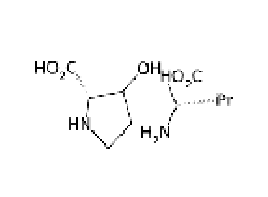 CC(C)[C@H](N)C(=O)O.O=C(O)[C@H]1NCCC1O